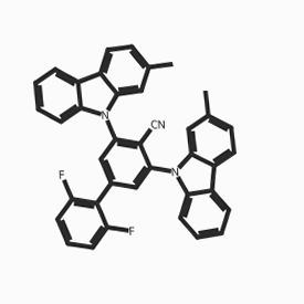 Cc1ccc2c3ccccc3n(-c3cc(-c4c(F)cccc4F)cc(-n4c5ccccc5c5ccc(C)cc54)c3C#N)c2c1